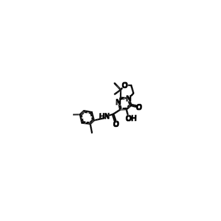 Cc1ccc(CNC(=O)c2nc3n(c(=O)c2O)CCOC3(C)C)c(C)c1